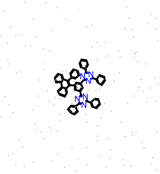 c1ccc(-c2nc(-c3ccccc3)nc(-c3cc(-c4nc(-c5ccccc5)nc(-c5ccccc5)n4)cc(-c4c(-c5ccccc5)c5ccccc5c5ccccc45)c3)n2)cc1